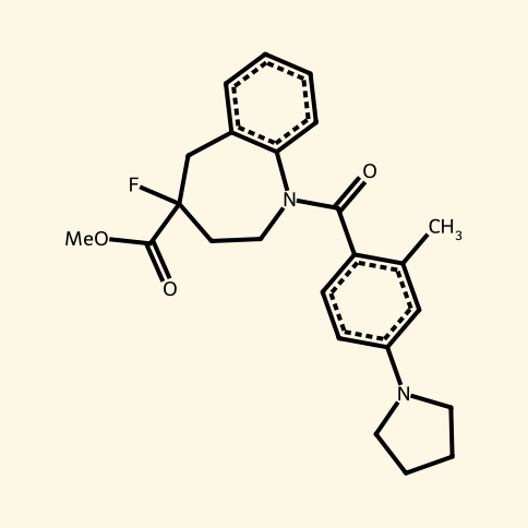 COC(=O)C1(F)CCN(C(=O)c2ccc(N3CCCC3)cc2C)c2ccccc2C1